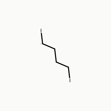 I[CH]CCCI